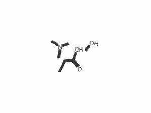 CCC(=O)O.CN(C)C.CO